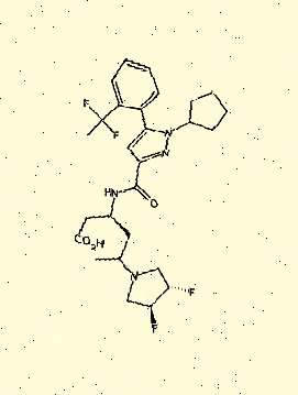 CC(C[C@@H](CC(=O)O)NC(=O)c1cc(-c2ccccc2C(C)(F)F)n(C2CCCC2)n1)N1C[C@H](F)[C@@H](F)C1